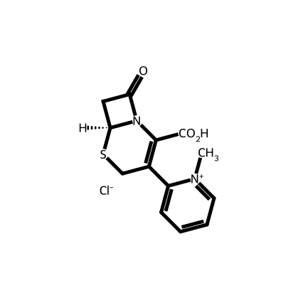 C[n+]1ccccc1C1=C(C(=O)O)N2C(=O)C[C@@H]2SC1.[Cl-]